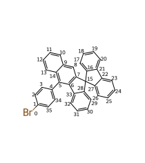 Brc1ccc(-c2c3c(cc4ccccc24)C2(c4ccccc4-c4ccccc42)c2ccccc2-3)cc1